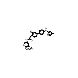 COc1ncc(NC(=O)Cc2ccc(-c3cnc(NC4=CC(C)C=N4)nc3)cc2F)cc1C(F)(F)F